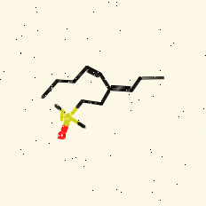 CC/C=C(\C=C/CCC)CC[SH](C)(C)=O